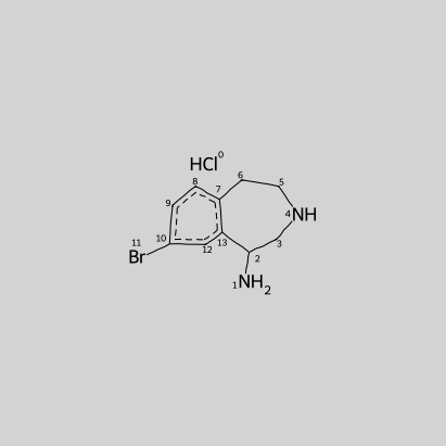 Cl.NC1CNCCc2ccc(Br)cc21